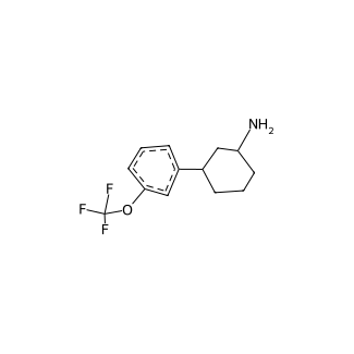 NC1CCCC(c2cccc(OC(F)(F)F)c2)C1